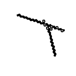 CCCCCCCCCCCCCCCC(=O)OCC(COCCOCCOC)OC(=O)CCCCCCCCCCCCCCC